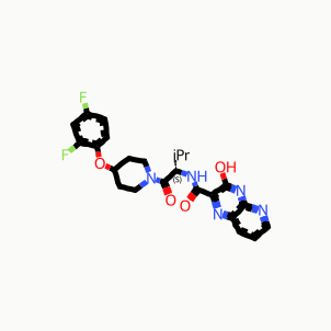 CC(C)[C@H](NC(=O)c1nc2cccnc2nc1O)C(=O)N1CCC(Oc2ccc(F)cc2F)CC1